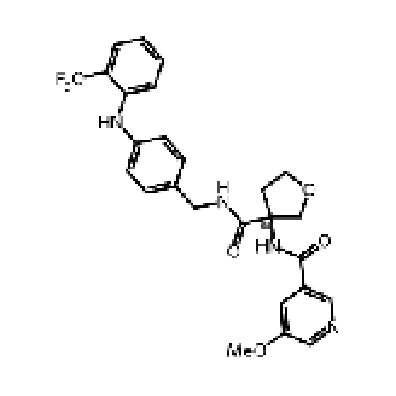 COc1cncc(C(=O)N[C@@]2(C(=O)NCc3ccc(Nc4ccccc4C(F)(F)F)cc3)CCOC2)c1